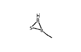 CB1BS1